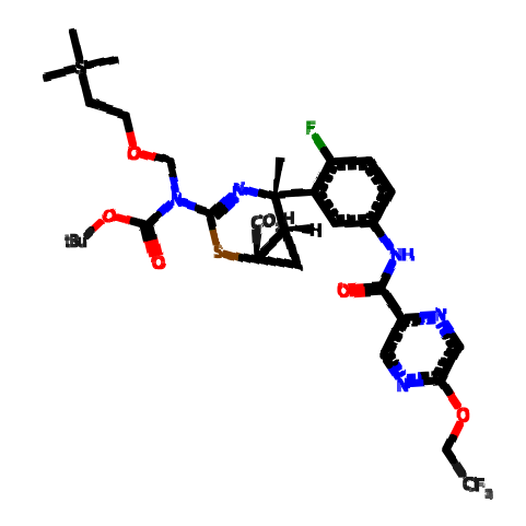 CC(C)(C)OC(=O)N(COCC[Si](C)(C)C)C1=N[C@](C)(c2cc(NC(=O)c3cnc(OCC(F)(F)F)cn3)ccc2F)[C@@H]2C[C@]2(C(=O)O)S1